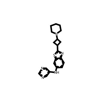 c1ncc(Nc2ccc3nc(C4CC(N5CCCCC5)C4)sc3c2)cn1